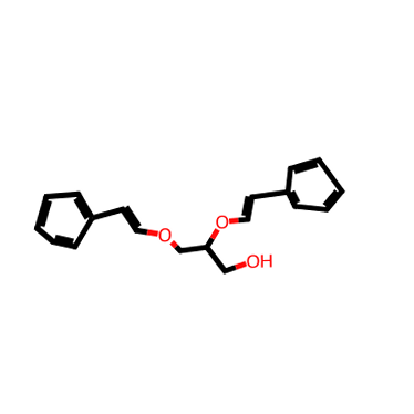 OCC(COC=Cc1ccccc1)OC=Cc1ccccc1